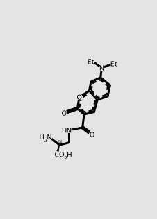 CCN(CC)c1ccc2cc(C(=O)NC[C@H](N)C(=O)O)c(=O)oc2c1